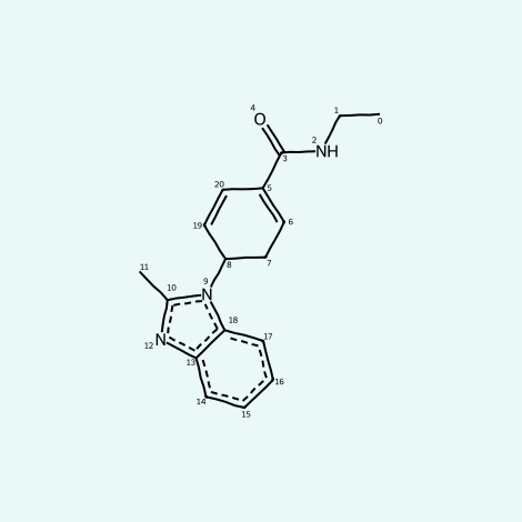 CCNC(=O)C1=CCC(n2c(C)nc3ccccc32)C=C1